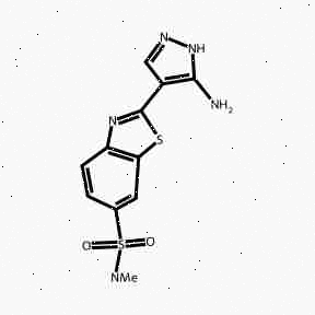 CNS(=O)(=O)c1ccc2nc(-c3cn[nH]c3N)sc2c1